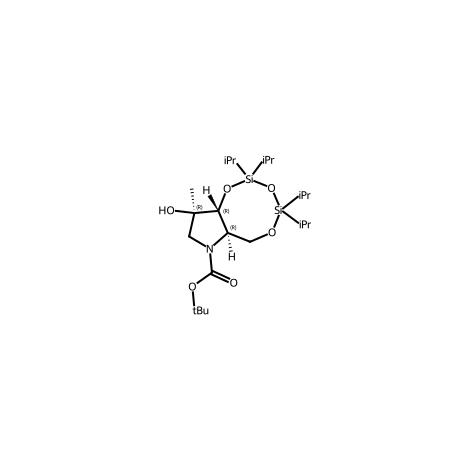 CC(C)[Si]1(C(C)C)OC[C@@H]2[C@@H](O[Si](C(C)C)(C(C)C)O1)[C@](C)(O)CN2C(=O)OC(C)(C)C